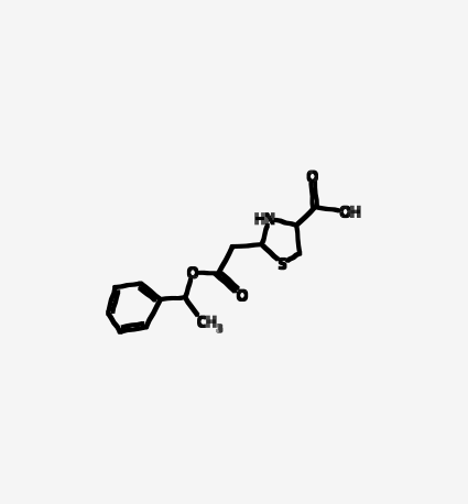 CC(OC(=O)CC1NC(C(=O)O)CS1)c1ccccc1